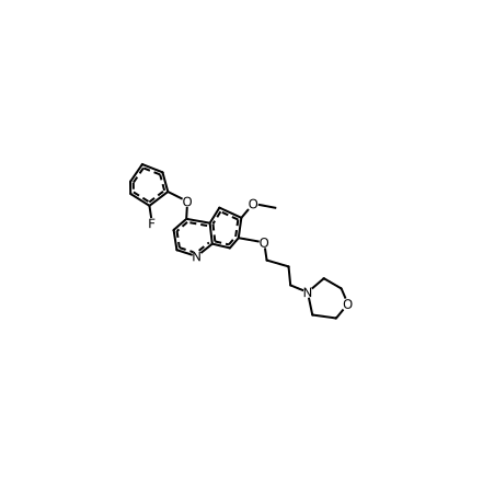 COc1cc2c(Oc3ccccc3F)ccnc2cc1OCCCN1CCOCC1